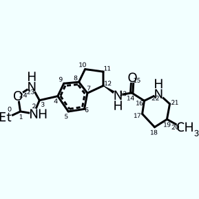 CCC1NC(c2ccc3c(c2)CC[C@H]3NC(=O)C2CCC(C)CN2)NO1